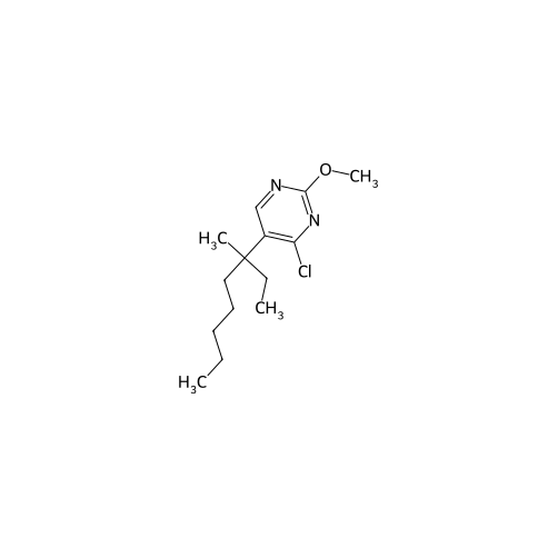 CCCCCC(C)(CC)c1cnc(OC)nc1Cl